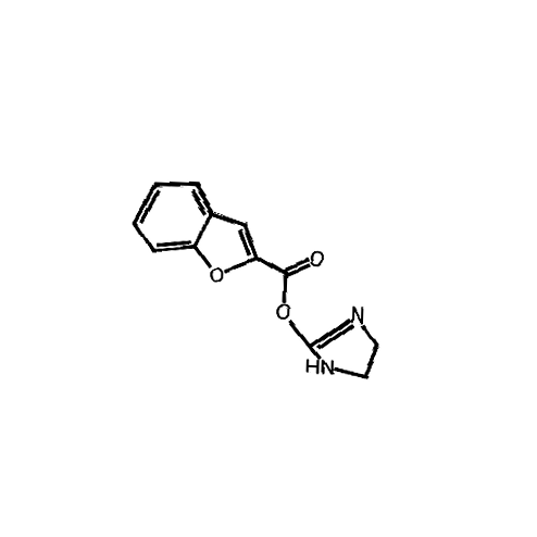 O=C(OC1=NCCN1)c1cc2ccccc2o1